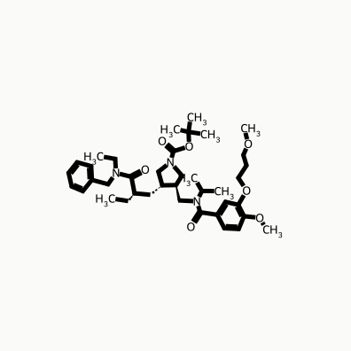 CC[C@@H](C[C@@H]1CN(C(=O)OC(C)(C)C)C[C@H]1CN(C(=O)c1ccc(OC)c(OCCCOC)c1)C(C)C)C(=O)N(CC)Cc1ccccc1